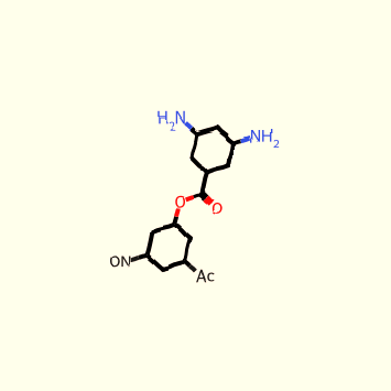 CC(=O)C1CC(N=O)CC(OC(=O)C2CC(N)CC(N)C2)C1